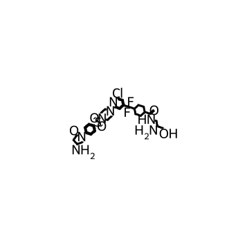 NC(CO)CNC(=O)C1CCC(C(F)(F)c2cc(Cl)nc(N3CCN(S(=O)(=O)c4ccc(N5C[C@H](N)CC5=O)cc4)CC3)c2)CC1